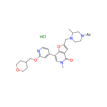 CC(=O)N1CCN(Cc2cc3c(=O)n(C)cc(-c4ccnc(OCC5CCOCC5)c4)c3o2)C(C)C1.Cl